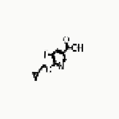 O=C(O)c1cnc(OCC2CC2)c(F)c1